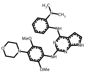 COc1cc(N2CCOCC2)c(OC)cc1Nc1nc(Nc2ccccc2N(C)C)c2cc[nH]c2n1